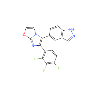 Fc1ccc(-c2nc3occn3c2-c2ccc3[nH]ncc3c2)c(F)c1F